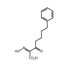 CCOC(=O)C(=NO)C(=O)CCCCc1ccccc1